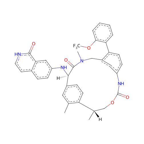 Cc1cc2ccc1[C@@H](C)COC(=O)Nc1ccc(-c3ccccc3OC(F)(F)F)c(c1)CN(C)C(=O)[C@@H]2Nc1ccc2cc[nH]c(=O)c2c1